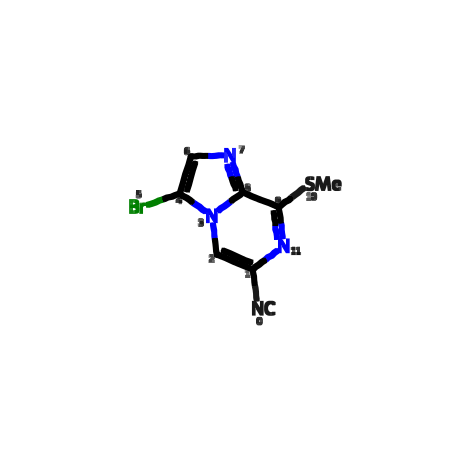 [C-]#[N+]c1cn2c(Br)cnc2c(SC)n1